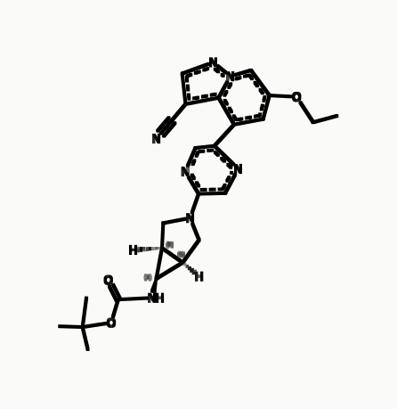 CCOc1cc(-c2cnc(N3C[C@@H]4[C@H](C3)[C@@H]4NC(=O)OC(C)(C)C)cn2)c2c(C#N)cnn2c1